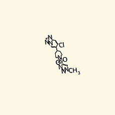 Cn1cc(S(=O)(=O)N2CCC(c3cn4ncnc4cc3Cl)CC2)nn1